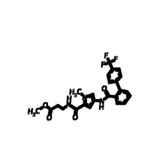 COC(=O)CCNC(=O)c1cc(NC(=O)c2ccccc2-c2ccc(C(F)(F)F)cc2)cn1C